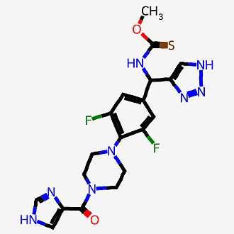 COC(=S)NC(c1cc(F)c(N2CCN(C(=O)c3c[nH]cn3)CC2)c(F)c1)c1c[nH]nn1